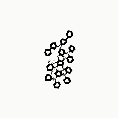 Fc1ccccc1N1c2cc(N(c3ccccc3)c3ccccc3)cc3c2B(c2ccccc2N3c2ccccc2)c2cc3c(c(C(F)(F)F)c21)Sc1cc(N(c2ccc(-c4ccccc4)cc2)c2cccc(-c4ccccc4)c2)cc2c1B3c1ccccc1N2c1ccccc1